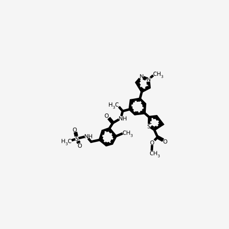 COC(=O)c1ccc(-c2cc(-c3cnn(C)c3)cc(C(C)NC(=O)c3cc(CNS(C)(=O)=O)ccc3C)c2)s1